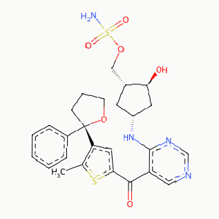 Cc1sc(C(=O)c2cncnc2N[C@@H]2C[C@H](COS(N)(=O)=O)[C@@H](O)C2)cc1[C@@]1(c2ccccc2)CCCO1